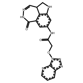 O=C(COn1nnc2cccnc21)Nc1cc2c3c(c1)C(=O)NN=CC3CN2